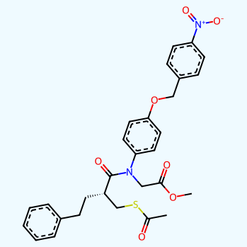 COC(=O)CN(C(=O)[C@@H](CCc1ccccc1)CSC(C)=O)c1ccc(OCc2ccc([N+](=O)[O-])cc2)cc1